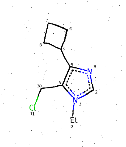 CCn1cnc(C2CCC2)c1CCl